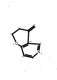 C=C1CCOc2ccncc21